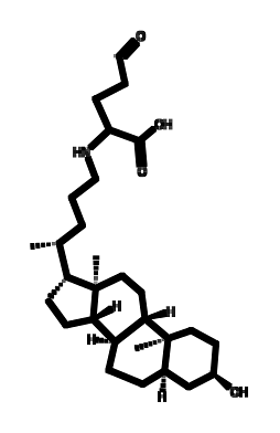 C[C@H](CCCNC(CC[C]=O)C(=O)O)[C@H]1CC[C@H]2[C@@H]3CC[C@@H]4C[C@H](O)CC[C@]4(C)[C@H]3CC[C@]12C